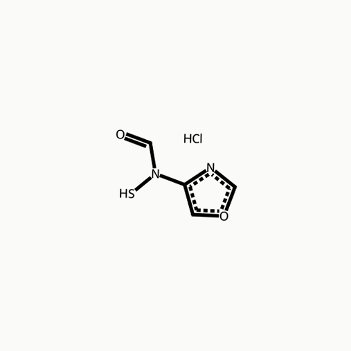 Cl.O=CN(S)c1cocn1